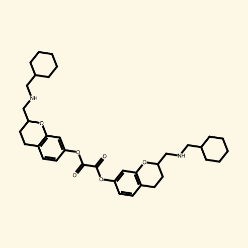 O=C(Oc1ccc2c(c1)OC(CNCC1CCCCC1)CC2)C(=O)Oc1ccc2c(c1)OC(CNCC1CCCCC1)CC2